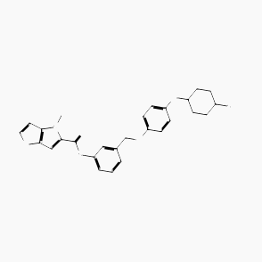 Cn1c(C(=O)Nc2cccc(COc3ccc(OC4CCC(N)CC4)cc3)c2)cc2sccc21